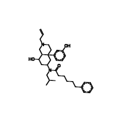 C=CCN1CCC2(c3cccc(O)c3)CC(N(CC(C)C)C(=O)CCCCCc3ccccc3)CC(O)C2C1